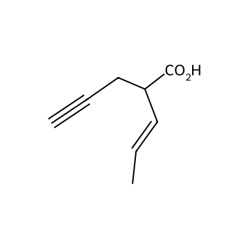 C#CCC(C=CC)C(=O)O